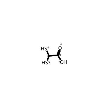 O=C(O)C(S)S